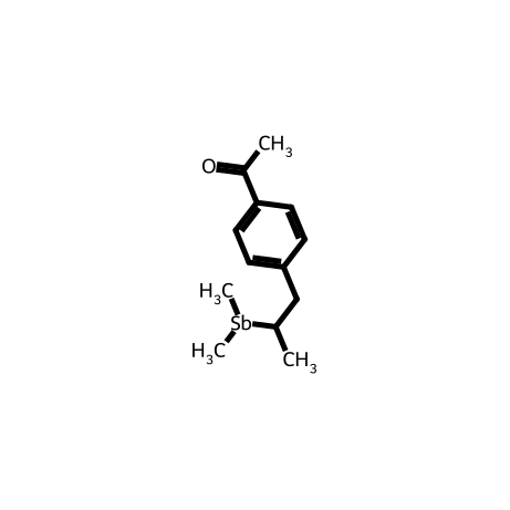 CC(=O)c1ccc(C[CH](C)[Sb]([CH3])[CH3])cc1